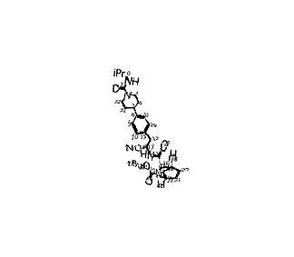 CC(C)NC(=O)N1CCC(c2ccc(C[C@@H](C#N)NC(=O)[C@@H]3[C@H]4CC[C@H](C4)N3C(=O)OC(C)(C)C)cc2)CC1